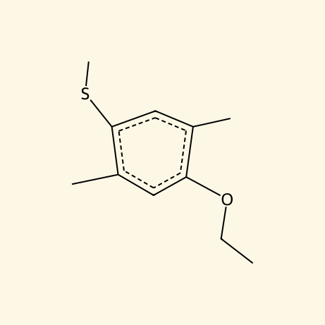 CCOc1cc(C)c(SC)cc1C